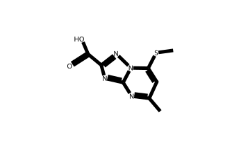 CSc1cc(C)nc2nc(C(=O)O)nn12